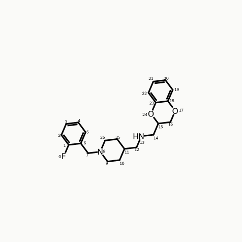 Fc1ccccc1CN1CCC(CNCC2COc3ccccc3O2)CC1